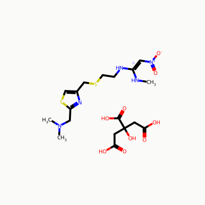 CN/C(=C\[N+](=O)[O-])NCCSCc1csc(CN(C)C)n1.O=C(O)CC(O)(CC(=O)O)C(=O)O